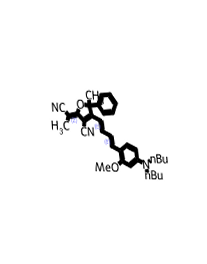 CCCCN(CCCC)c1ccc(/C=C/C=C/C2=C(C#N)C(=C(\C)C#N)/OC2(C)c2ccccc2)c(OC)c1